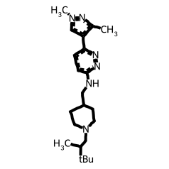 Cc1nn(C)cc1-c1ccc(NCC2CCN(CC(C)C(C)(C)C)CC2)nn1